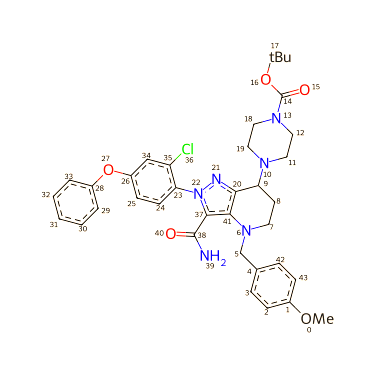 COc1ccc(CN2CCC(N3CCN(C(=O)OC(C)(C)C)CC3)c3nn(-c4ccc(Oc5ccccc5)cc4Cl)c(C(N)=O)c32)cc1